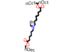 CCCCCCCCCCCOC(=O)CCCCCN(CCCCCCCC(=O)OC(CCCCCCCC)CCCCCCCC)CC(C)C